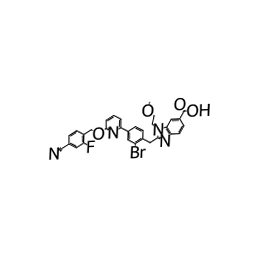 COCCn1c(Cc2ccc(-c3cccc(OCc4ccc(C#N)cc4F)n3)cc2Br)nc2ccc(C(=O)O)cc21